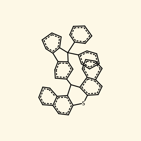 c1ccc(C2(c3ccccc3)c3ccccc3-c3ccc(C4c5c(ccc6ccccc56)Sc5ccc6ccccc6c54)cc32)cc1